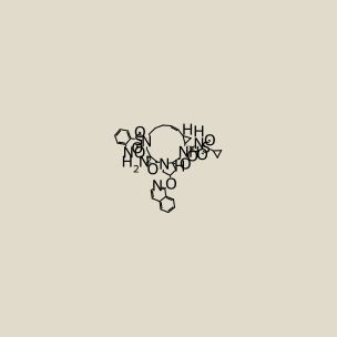 N[C@H]1CN(S(=O)(=O)c2ccccc2[N+](=O)[O-])CCC/C=C\[C@@H]2C[C@@]2(C(=O)NS(=O)(=O)C2CC2)NC(=O)[C@@H]2C[C@@H](Oc3nccc4ccccc34)CN2C1=O